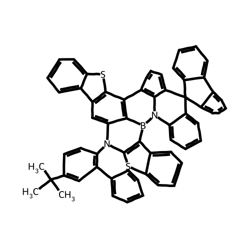 CC(C)(C)c1ccc(N2c3cc4c(sc5ccccc54)c4c3B(c3c2sc2ccccc32)N2c3ccccc3C3(c5ccccc5-c5ccccc53)c3cccc-4c32)c(-c2ccccc2)c1